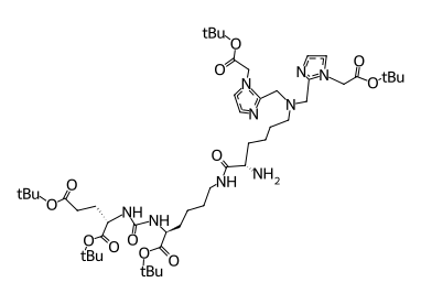 CC(C)(C)OC(=O)CC[C@H](NC(=O)N[C@@H](CCCCNC(=O)[C@@H](N)CCCCN(Cc1nccn1CC(=O)OC(C)(C)C)Cc1nccn1CC(=O)OC(C)(C)C)C(=O)OC(C)(C)C)C(=O)OC(C)(C)C